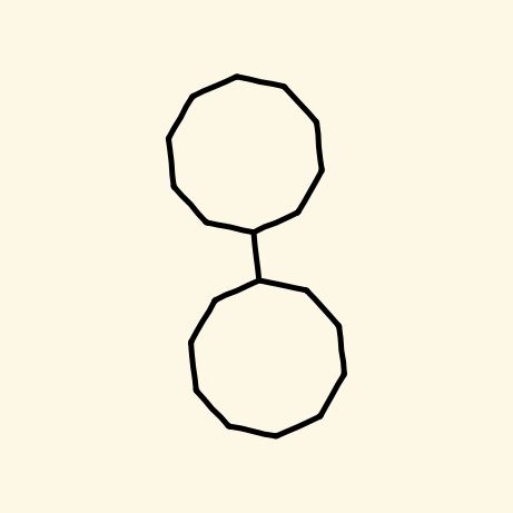 C1CCCCC(C2CCCCCCCCC2)CCCC1